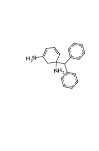 NC1=CC=CC(N)(C(c2ccccc2)c2ccccc2)C1